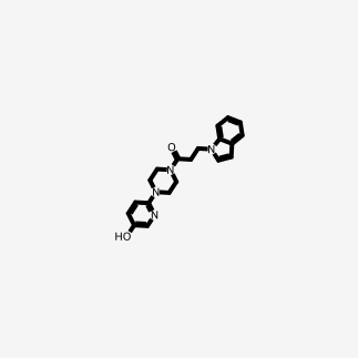 O=C(CCn1ccc2ccccc21)N1CCN(c2ccc(O)cn2)CC1